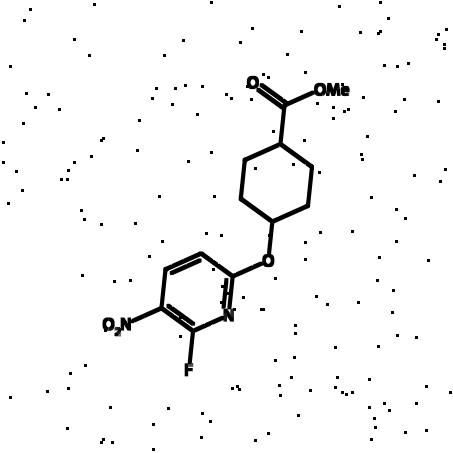 COC(=O)C1CCC(Oc2ccc([N+](=O)[O-])c(F)n2)CC1